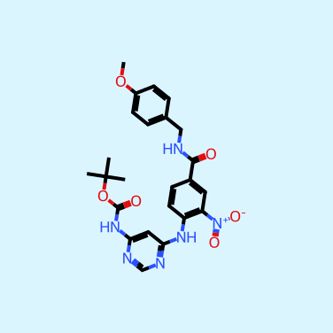 COc1ccc(CNC(=O)c2ccc(Nc3cc(NC(=O)OC(C)(C)C)ncn3)c([N+](=O)[O-])c2)cc1